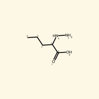 CCCC(NN)C(=O)O